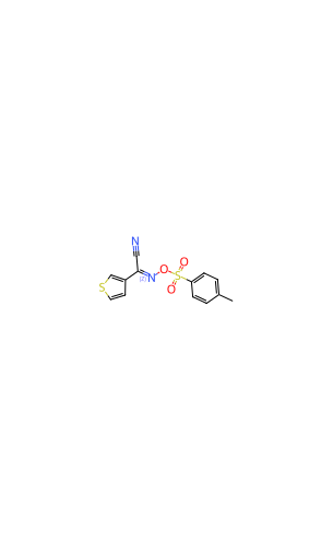 Cc1ccc(S(=O)(=O)O/N=C(\C#N)c2ccsc2)cc1